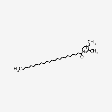 CCCCCCCCCCCCCCCCCCCCCCCC(=O)N1CCN(CC)C(C)C1